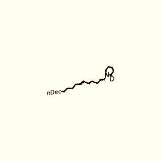 CCCCCCCCCCCCCCCCCCCCCN1CCCCC1=O